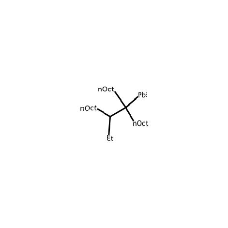 CCCCCCCCC(CC)[C]([Pb])(CCCCCCCC)CCCCCCCC